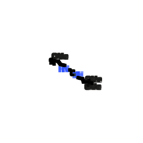 CO[Si](C)(C)CCCNCCNCCC[Si](C)(OC)OC